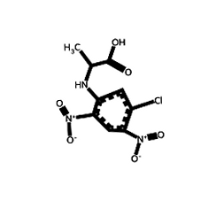 CC(Nc1cc(Cl)c([N+](=O)[O-])cc1[N+](=O)[O-])C(=O)O